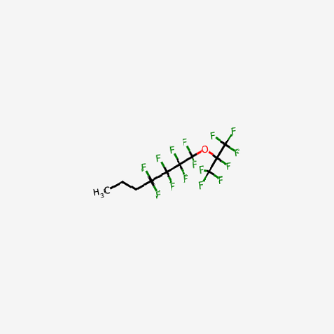 CCCC(F)(F)C(F)(F)C(F)(F)C(F)(F)OC(F)(C(F)(F)F)C(F)(F)F